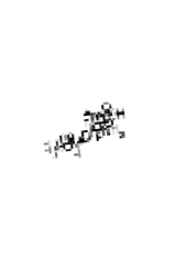 CC(C)(C)OC(=O)NC1C2CN(c3c(F)c(N)c4c(=O)c(C(=O)O)cn(C5CC5)c4c3F)CC21